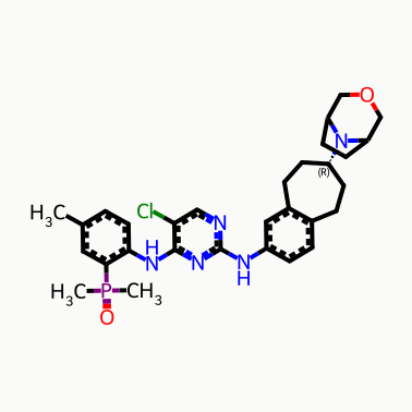 Cc1ccc(Nc2nc(Nc3ccc4c(c3)CC[C@H](N3C5CCC3COC5)CC4)ncc2Cl)c(P(C)(C)=O)c1